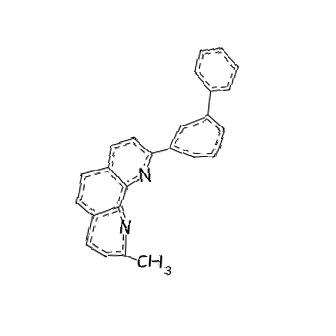 Cc1ccc2ccc3ccc(-c4cccc(-c5ccccc5)c4)nc3c2n1